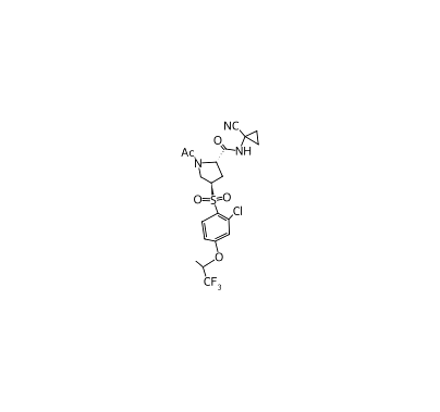 CC(=O)N1C[C@H](S(=O)(=O)c2ccc(OC(C)C(F)(F)F)cc2Cl)C[C@H]1C(=O)NC1(C#N)CC1